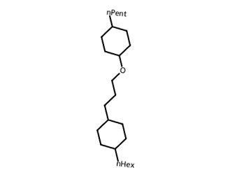 CCCCCCC1CCC(CCCOC2CCC(CCCCC)CC2)CC1